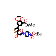 COC(=O)c1cc(-c2csc3c(=O)cc(N4CCN(C(=O)OC(C)(C)C)CC4)oc23)cc2c1OCCO2